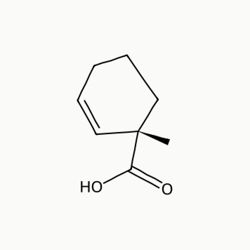 C[C@@]1(C(=O)O)C=CCCC1